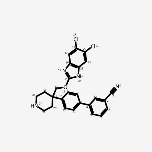 N#Cc1cccc(-c2ccc(C3(COc4nc5cc(Cl)c(Cl)cc5[nH]4)CCNCC3)cc2)c1